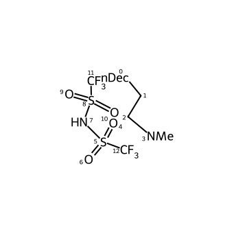 CCCCCCCCCCCCNC.O=S(=O)(NS(=O)(=O)C(F)(F)F)C(F)(F)F